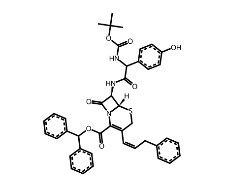 CC(C)(C)OC(=O)NC(C(=O)N[C@@H]1C(=O)N2C(C(=O)OC(c3ccccc3)c3ccccc3)=C(/C=C\Cc3ccccc3)CS[C@@H]12)c1ccc(O)cc1